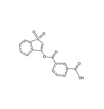 O=C(O)c1cccc(C(=O)OC2=CS(=O)(=O)c3ccccc32)c1